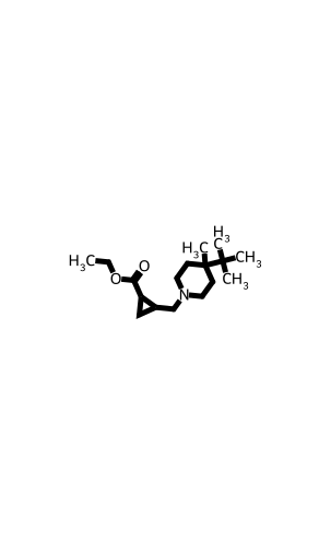 CCOC(=O)C1CC1CN1CCC(C)(C(C)(C)C)CC1